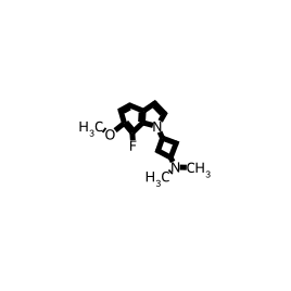 COc1ccc2ccn(C3CC(N(C)C)C3)c2c1F